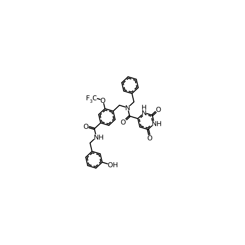 O=C(NCc1cccc(O)c1)c1ccc(CN(Cc2ccccc2)C(=O)c2cc(=O)[nH]c(=O)[nH]2)c(OC(F)(F)F)c1